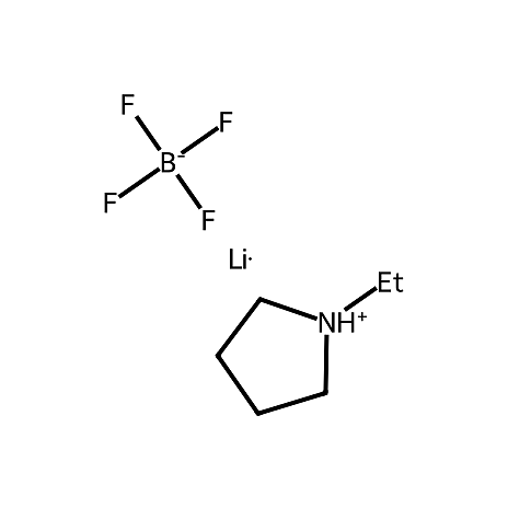 CC[NH+]1CCCC1.F[B-](F)(F)F.[Li]